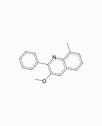 COc1cc2cccc(C)c2nc1-c1ccccc1